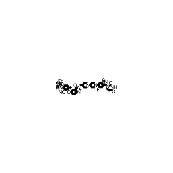 CCN(C)S(=O)(=O)Nc1ccc(F)c(Oc2ccc3ncn(CC4CCN(C5CCN(c6cc7c(cc6F)c(N6CCC(=O)NC6=O)nn7C)CC5)CC4)c(=O)c3c2)c1C#N